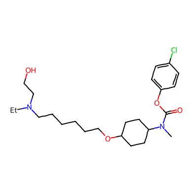 CCN(CCO)CCCCCCOC1CCC(N(C)C(=O)Oc2ccc(Cl)cc2)CC1